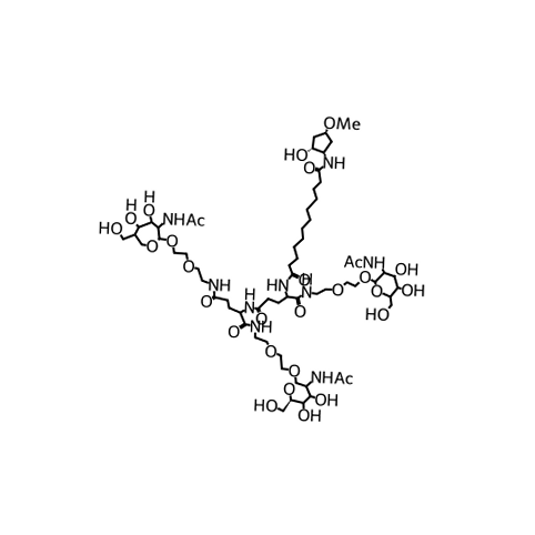 CO[C@@H]1C[C@@H](O)[C@H](NC(=O)CCCCCCCCCCC(=O)NC(CCC(=O)NC(CCC(=O)NCCOCCOC2OCC(CO)C(O)C(O)C2NC(C)=O)C(=O)NCCOCCOC2O[C@H](CO)C(O)C(O)C2NC(C)=O)C(=O)NCCOCCOC2OC(CO)C(O)C(O)C2NC(C)=O)C1